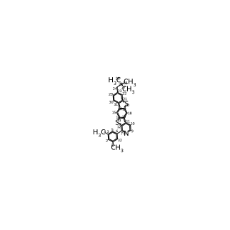 Cc1cc(C)cc(-c2nccc3c2sc2cc4c(cc23)sc2cc(CC(C)(C)C)ccc24)c1